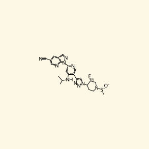 CC(C)Nc1cc(-n2ncc3cc(C#N)cnc32)ncc1-c1cn(C2CCN([S+](C)[O-])C[C@@H]2F)nn1